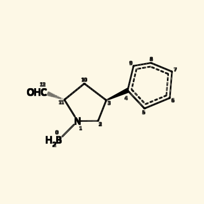 BN1C[C@H](c2ccccc2)C[C@H]1C=O